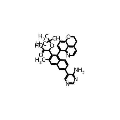 Cc1cc2cc(-c3cncnc3N)ccc2c(-c2ccc3c4c(ccnc24)CCO3)c1C(OC(C)(C)C)C(=O)O